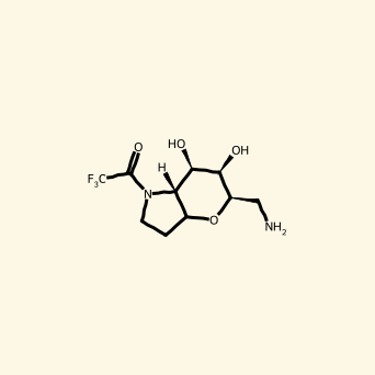 NC[C@H]1OC2CCN(C(=O)C(F)(F)F)[C@@H]2[C@@H](O)[C@H]1O